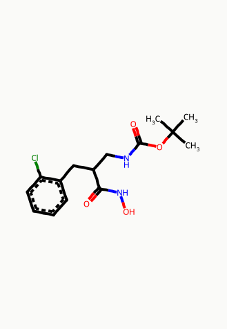 CC(C)(C)OC(=O)NCC(Cc1ccccc1Cl)C(=O)NO